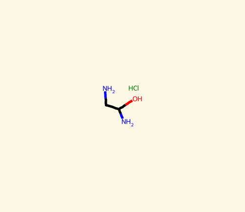 Cl.NCC(N)O